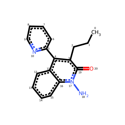 CCCc1c(-c2ccccn2)c2ccccc2n(N)c1=O